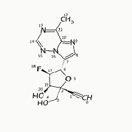 C#C[C@]1(CO)O[C@@H](c2cnc3c(C)ncnn23)[C@H](F)[C@@H]1O